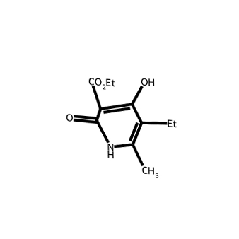 CCOC(=O)c1c(O)c(CC)c(C)[nH]c1=O